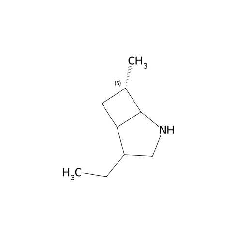 CCC1CNC2C1C[C@@H]2C